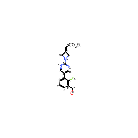 CCOC(=O)C=C1CN(c2ncc(-c3cccc(CO)c3F)cn2)C1